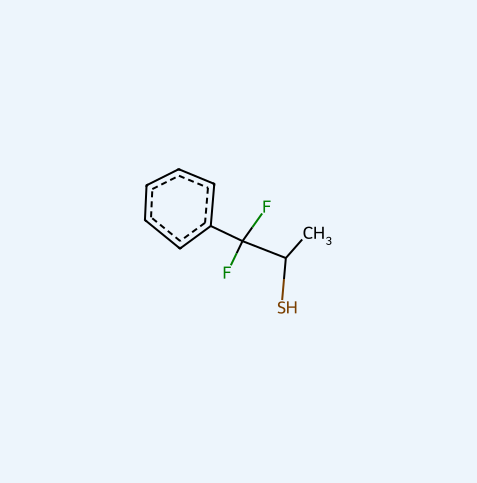 CC(S)C(F)(F)c1ccccc1